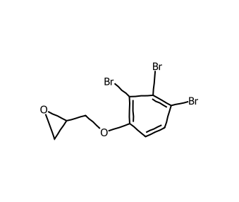 Brc1ccc(OCC2CO2)c(Br)c1Br